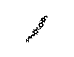 CCc1ccc(C2CCC(OCC3CCC(C=CC=CC#N)CC3)CC2)cc1